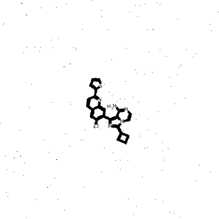 Nc1nccn2c(C3CCC3)nc(-c3cc4nc(-c5cccs5)ccc4cc3Cl)c12